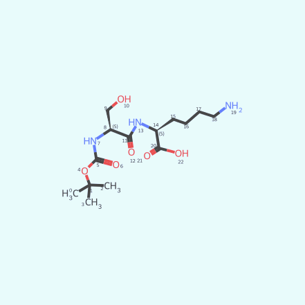 CC(C)(C)OC(=O)N[C@@H](CO)C(=O)N[C@@H](CCCCN)C(=O)O